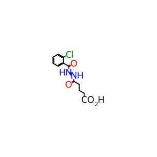 O=C(O)CCCC(=O)NNC(=O)c1ccccc1Cl